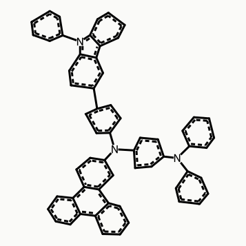 c1ccc(N(c2ccccc2)c2ccc(N(c3ccc(-c4ccc5c(c4)c4ccccc4n5-c4ccccc4)cc3)c3ccc4c5ccccc5c5ccccc5c4c3)cc2)cc1